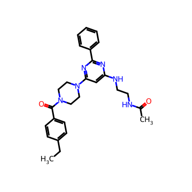 CCc1ccc(C(=O)N2CCN(c3cc(NCCNC(C)=O)nc(-c4ccccc4)n3)CC2)cc1